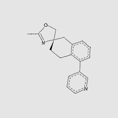 CC1=N[C@]2(CCc3c(cccc3-c3cccnc3)C2)CO1